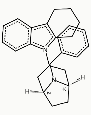 c1ccc(CN2[C@@H]3CC[C@H]2CC(n2c4c(c5ccccc52)CCCC4)C3)cc1